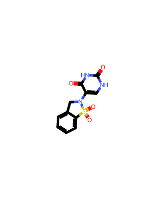 O=c1[nH]cc(N2Cc3ccccc3S2(=O)=O)c(=O)[nH]1